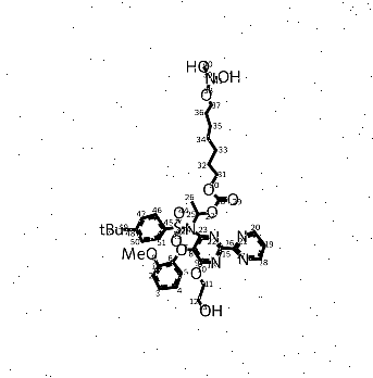 COc1ccccc1Oc1c(OCCO)nc(-c2ncccn2)nc1N(C(C)OC(=O)OCCCCCCCON(O)O)S(=O)(=O)c1ccc(C(C)(C)C)cc1